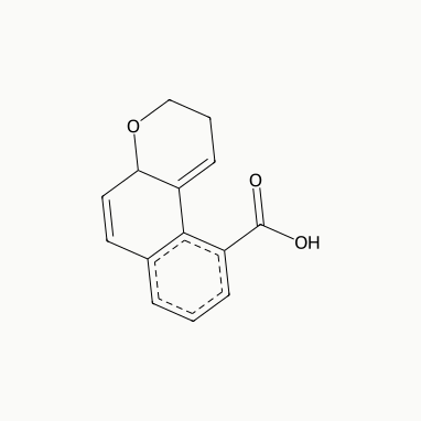 O=C(O)c1cccc2c1C1=CCCOC1C=C2